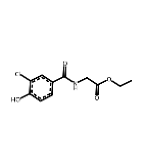 CCOC(=O)CNC(=O)c1ccc(O)c(Cl)c1